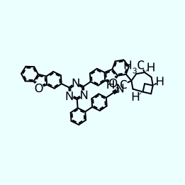 C[C@@H]1CC(C)(c2cccc3c2oc2cc(-c4nc(-c5ccc6c(c5)oc5ccccc56)nc(-c5ccccc5-c5ccc(C#N)cc5)n4)ccc23)C[C@H]2C[C@H](C1)C2